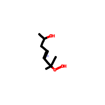 CC(O)C/C=C/C(C)(C)OO